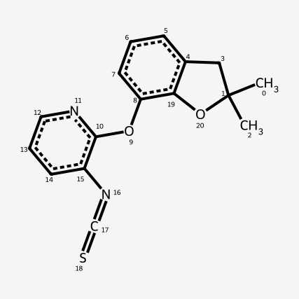 CC1(C)Cc2cccc(Oc3ncccc3N=C=S)c2O1